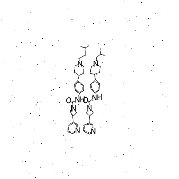 CC(C)CCN1CCC(c2ccc(NC(=O)N3CC(c4cccnc4)C3)cc2)CC1.CC(C)CN1CCC(c2ccc(NC(=O)N3CC(c4cccnc4)C3)cc2)CC1